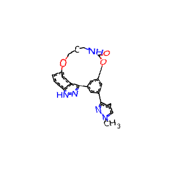 Cn1ccc(-c2cc3cc(c2)-c2n[nH]c4ccc(cc24)OCCCNC(=O)OC3)n1